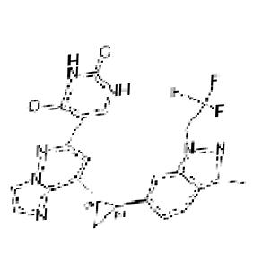 Cc1nn(CC(F)(F)F)c2cc([C@H]3C[C@@H]3c3cc(-c4c[nH]c(=O)[nH]c4=O)nn4ccnc34)ccc12